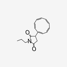 CCCN1C(=O)CC(c2ccccccccc2)C1=O